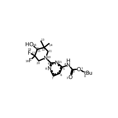 CC(C)(C)OC(=O)Nc1ccnc(N2CC(C)(C)[C@H](O)C(F)(F)C2)n1